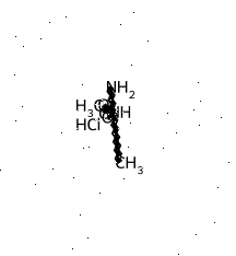 CCCCCCCCCCCC(=O)NC(CCCCN)C(=O)OC.Cl